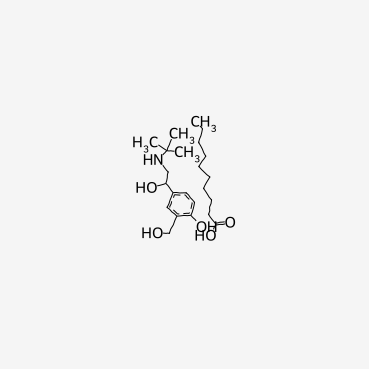 CC(C)(C)NCC(O)c1ccc(O)c(CO)c1.CCCCCCCCCC(=O)O